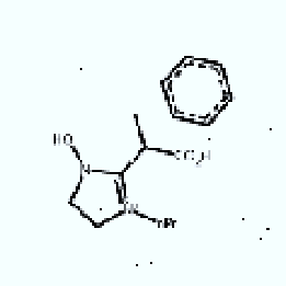 CCC[N+]1=C(C(C)C(=O)O)N(O)CC1.c1ccccc1